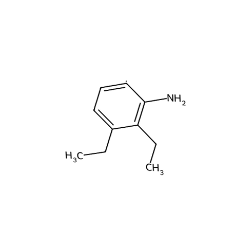 CCc1cc[c]c(N)c1CC